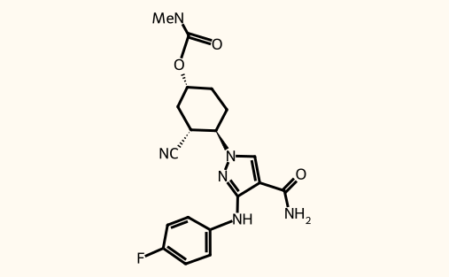 CNC(=O)O[C@@H]1CC[C@@H](n2cc(C(N)=O)c(Nc3ccc(F)cc3)n2)[C@H](C#N)C1